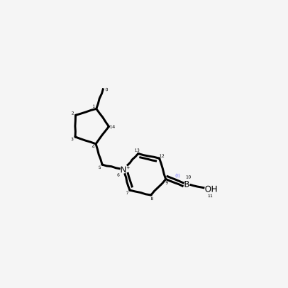 CC1CCC(C[N+]2=CC/C(=B\O)C=C2)C1